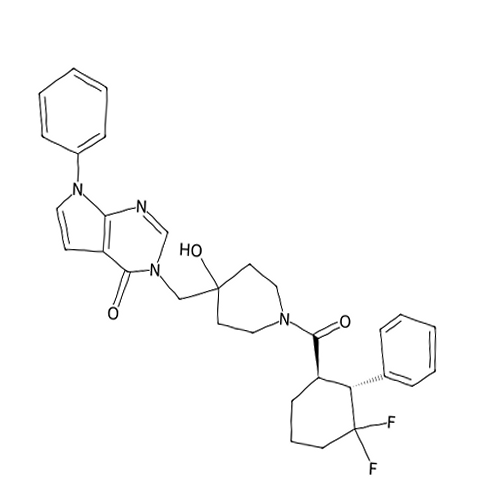 O=C([C@@H]1CCCC(F)(F)[C@H]1c1ccccc1)N1CCC(O)(Cn2cnc3c(ccn3-c3ccccc3)c2=O)CC1